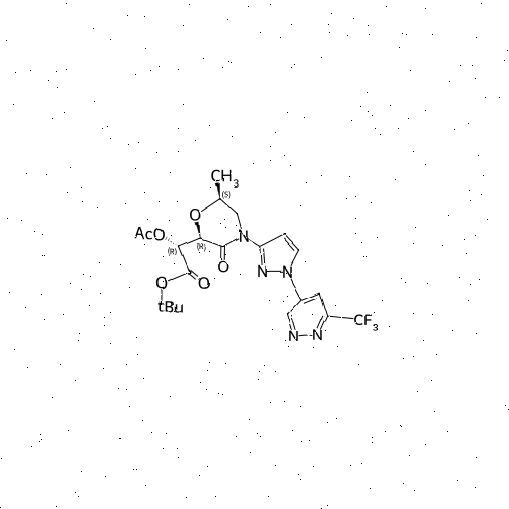 CC(=O)O[C@@H](C(=O)OC(C)(C)C)[C@H]1O[C@@H](C)CN(c2ccn(-c3cnnc(C(F)(F)F)c3)n2)C1=O